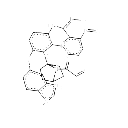 C=CC(=O)N1[C@@H]2CC[C@H]1[C@H](c1ccc(N=C)c(/C(=N\C)Nc3ccc(Oc4ccc5c(c4)ncn5C)c(C)c3F)n1)C2